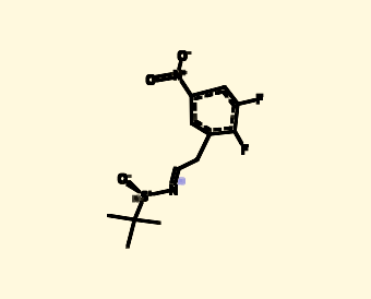 CC(C)(C)[S@@+]([O-])/N=C/Cc1cc([N+](=O)[O-])cc(F)c1F